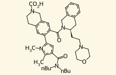 CCCCN(CCCC)C(=O)c1cc(-c2cc3c(cc2C(=O)N2Cc4ccccc4C[C@H]2CCN2CCOCC2)CN(C(=O)O)CC3)n(C)c1C